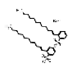 CCCCCCCCCCC=Cc1ccccc1S(=O)(=O)[O-].CCCCCCCCCCC=Cc1ccccc1S(=O)(=O)[O-].[Ba+2]